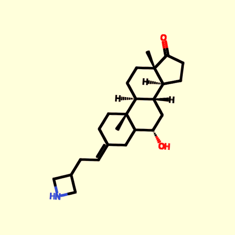 C[C@]12CCC(=CCC3CNC3)CC1[C@@H](O)C[C@@H]1[C@@H]2CC[C@]2(C)C(=O)CC[C@@H]12